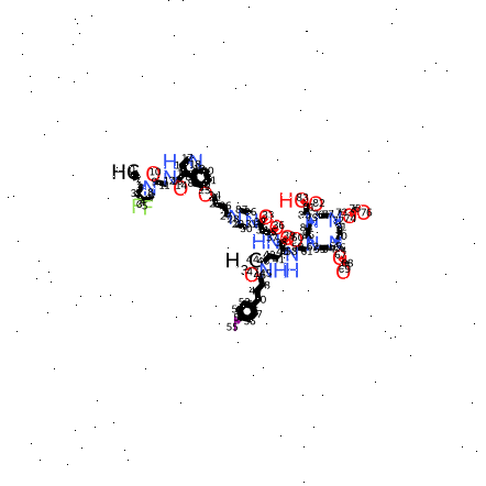 C#C[C@H]1CC(F)(F)CN1C(=O)CNC(=O)c1ccnc2ccc(OCCCCN3CCN(C(=O)CC(=O)NC(=O)[C@H](CC[C@@H](C)NC(=O)CCCc4ccc(I)cc4)NC(=O)CN4CCN(COC=O)CCN(COC=O)CCN(CC(=O)O)CC4)CC3)cc12